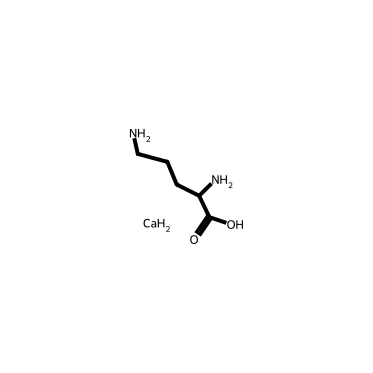 NCCCC(N)C(=O)O.[CaH2]